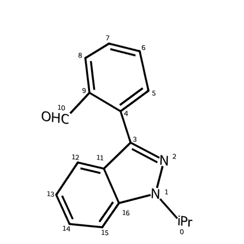 CC(C)n1nc(-c2ccccc2C=O)c2ccccc21